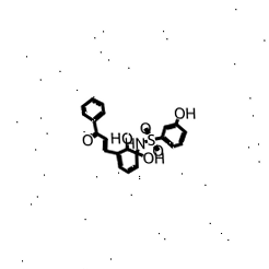 O=C(/C=C/C1=CC=CC(O)(NS(=O)(=O)c2cccc(O)c2)C1O)c1ccccc1